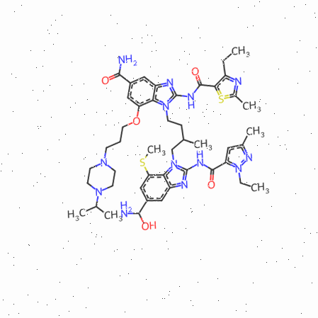 CCc1nc(C)sc1C(=O)Nc1nc2cc(C(N)=O)cc(OCCCN3CCN(C(C)C)CC3)c2n1CCC(C)Cn1c(NC(=O)c2cc(C)nn2CC)nc2cc(C(N)O)cc(SC)c21